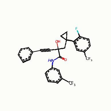 O=C(Nc1cccc(C(F)(F)F)c1)C(O)(C#Cc1ccccc1)CC1(c2cc(C(F)(F)F)ccc2F)CC1